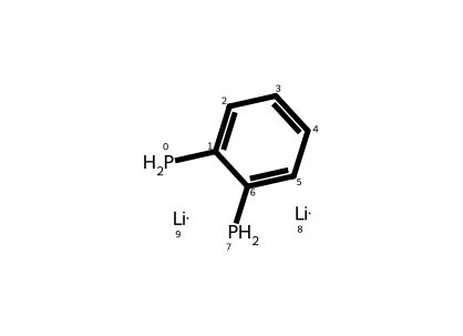 Pc1ccccc1P.[Li].[Li]